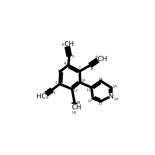 C#Cc1cc(C#C)c(C#C)c(-c2ccncc2)c1C#C